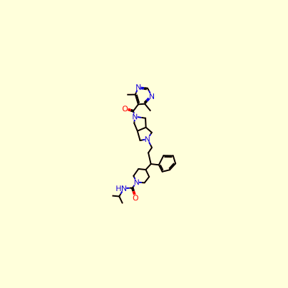 Cc1ncnc(C)c1C(=O)N1CC2CN(CCC(c3ccccc3)C3CCN(C(=O)NC(C)C)CC3)CC2C1